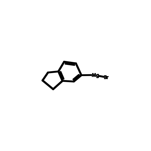 [Br][Mg][c]1ccc2c(c1)CCC2